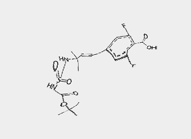 CC(C)(C#Cc1cc(F)c(C(=O)O)c(F)c1)NS(=O)(=O)NC(=O)OC(C)(C)C